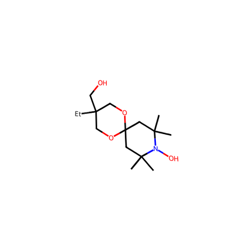 CCC1(CO)COC2(CC(C)(C)N(O)C(C)(C)C2)OC1